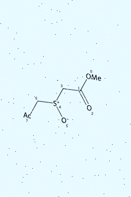 COC(=O)C[S+]([O-])CC(C)=O